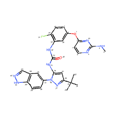 CNc1nccc(Oc2ccc(F)c(NC(=O)Nc3cc(C(C)(C)C)nn3-c3ccc4[nH]ncc4c3)c2)n1